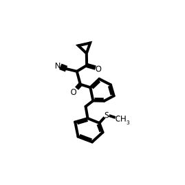 CSc1ccccc1Cc1ccccc1C(=O)C(C#N)C(=O)C1CC1